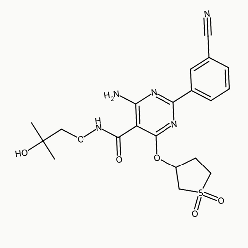 CC(C)(O)CONC(=O)c1c(N)nc(-c2cccc(C#N)c2)nc1OC1CCS(=O)(=O)C1